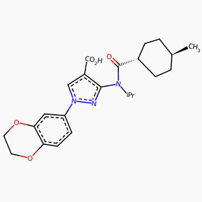 CC(C)N(c1nn(-c2ccc3c(c2)OCCO3)cc1C(=O)O)C(=O)[C@H]1CC[C@H](C)CC1